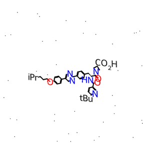 CC(C)CCCOc1ccc(-c2cnc(-c3ccc(C[C@H](NC(=O)c4ccc(C(C)(C)C)nc4)C(=O)N4CC(C(=O)O)C4)cc3)nc2)cc1